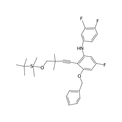 CC(C)(C#Cc1c(Nc2ccc(F)c(F)c2)cc(F)cc1OCc1ccccc1)CO[Si](C)(C)C(C)(C)C